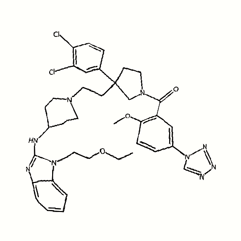 CCOCCn1c(NC2CCN(CCC3(c4ccc(Cl)c(Cl)c4)CCN(C(=O)c4cc(-n5cnnn5)ccc4OC)C3)CC2)nc2ccccc21